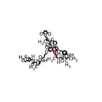 C=C1CCN(C(=O)c2cc(OC)c(OCCCC(=O)Nc3cn(C)c(C(=O)Nc4cc(C=O)n(C)c4)n3)cc2N(CC)C(=O)OCc2ccc(NC(=C)C(C)NC(=O)CNC(=C)CCOCCOCCNC(=C)CCN3C(=O)C=CC3=O)cc2)C1